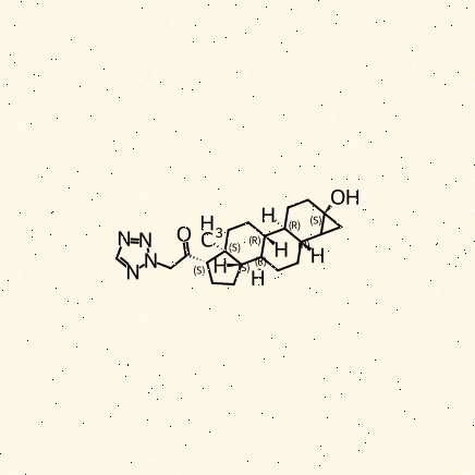 C[C@]12CC[C@@H]3[C@H]4CC[C@]5(O)CC5[C@@H]4CC[C@H]3[C@@H]1CC[C@@H]2C(=O)Cn1ncnn1